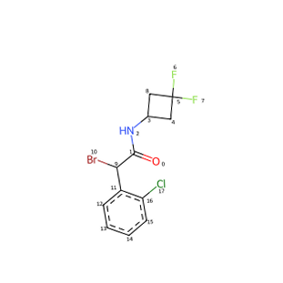 O=C(NC1CC(F)(F)C1)C(Br)c1ccccc1Cl